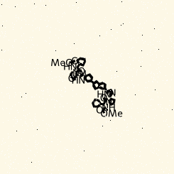 COC(=O)N[C@@H](C(=O)N1CCOC[C@H]1c1nc2ccc(-c3ccc4cc(-c5cnc([C@@H]6CCCN6C(=O)[C@H](NC(=O)OC)C6CCCCC6)[nH]5)ccc4c3)cc2[nH]1)C1=CCC=CC1